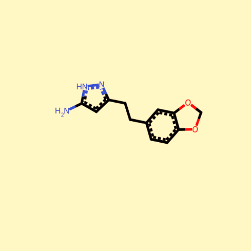 Nc1cc(CCc2ccc3c(c2)OCO3)n[nH]1